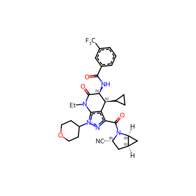 CCN1C(=O)[C@@H](NC(=O)c2cccc(C(F)(F)F)c2)[C@@H](C2CC2)c2c(C(=O)N3[C@@H](C#N)C[C@@H]4C[C@@H]43)nn(C3CCOCC3)c21